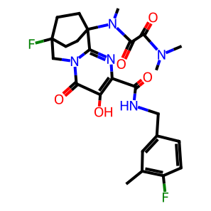 Cc1cc(CNC(=O)c2nc3n(c(=O)c2O)CC2(F)CCC3(N(C)C(=O)C(=O)N(C)C)CC2)ccc1F